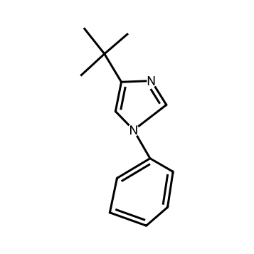 CC(C)(C)c1cn(-c2ccccc2)cn1